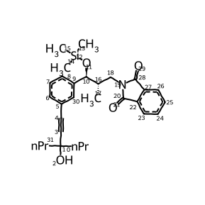 CCCC(O)(C#Cc1cccc([C@@H](O[Si](C)(C)C)[C@@H](C)CN2C(=O)c3ccccc3C2=O)c1)CCC